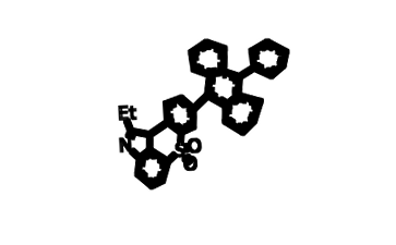 CCC1=Nc2cccc3c2C1c1ccc(-c2c4ccccc4c(-c4ccccc4)c4ccccc24)cc1S3(=O)=O